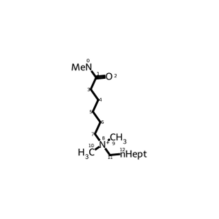 [CH2]NC(=O)CCCCC[N+](C)(C)CCCCCCCC